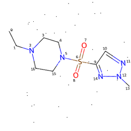 CCN1CCN(S(=O)(=O)c2cnn(C)n2)CC1